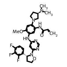 C=CC(=O)Nc1cc(Nc2cc(N3OCC[C@@H]3c3ccc(F)c(F)c3F)ncn2)c(OC)cc1N1CC[C@@H](N(C)C)C1